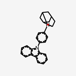 c1ccc2c(c1)c1ccccc1n2-c1ccc(N2C3CC4CC(C3)CC2C4)cc1